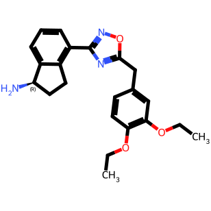 CCOc1ccc(Cc2nc(-c3cccc4c3CC[C@H]4N)no2)cc1OCC